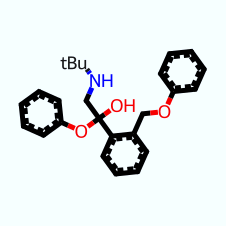 CC(C)(C)NCC(O)(Oc1ccccc1)c1ccccc1COc1ccccc1